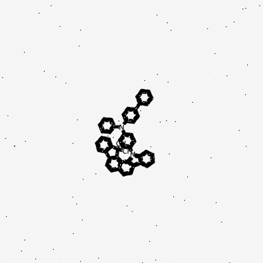 CC1(C)c2ccccc2-c2ccc3ccc4c5ccccc5n(-c5ccc(N(c6ccccc6)c6ccc(-c7ccccc7)cc6)cc5)c4c3c21